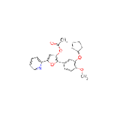 COc1ccc(-c2oc(-c3ccccn3)cc2OC(C)=O)cc1OC1CCCC1